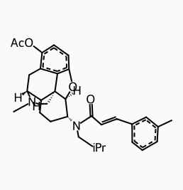 CC(=O)Oc1ccc2c3c1C[C@@H]1[C@@H]4CC[C@@H](N(CC(C)C)C(=O)C=Cc5cccc(C)c5)[C@H](O2)[C@]34CCN1C